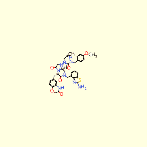 C#CCN(C(=O)NCc1ccc(OC)cc1)N1CC(=O)N2[C@@H](Cc3ccc4c(c3)NC(=O)CO4)C(=O)N(Cc3cccc4sc(N)nc34)C[C@@H]21